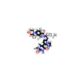 Cc1c(-c2ccc(CC(NC(=O)c3c(F)cc(N4CCOC[C@H]4C(F)(F)F)cc3F)C(=O)O)n3ccnc23)c(=O)n(C)c(=O)n1C